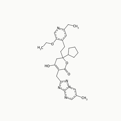 CCOc1cnc(CC)cc1CCC1(C2CCCC2)CC(O)=C(Cc2nc3ncc(C)cn3n2)C(=O)O1